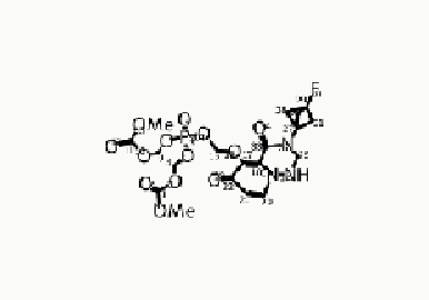 COC(=O)OCOP(=O)(OCOC(=O)OC)OCOc1c2n(ccc1=O)NCN(C13CC(F)(C1)C3)C2=O